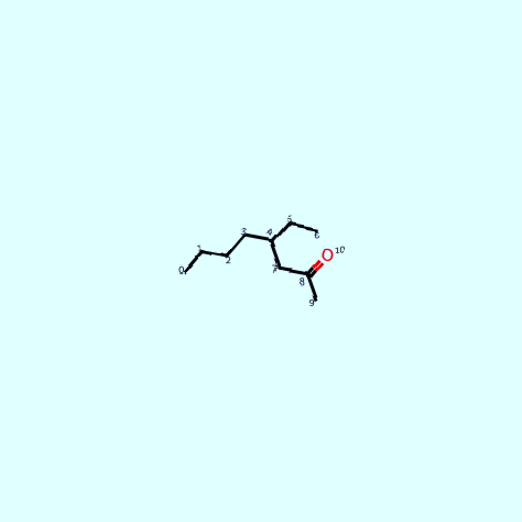 CCCCC(CC)CC(C)=O